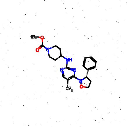 CC(C)(C)OC(=O)N1CCC(Nc2ncc(C(F)(F)F)c(N3OCC[C@H]3c3ccccc3)n2)CC1